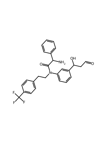 NC(C(=O)N(CCc1ccc(C(F)(F)F)cc1)c1cccc(C(O)CC=O)c1)c1ccccc1